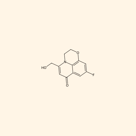 O=c1cc(CO)n2c3c(cc(F)cc13)OCC2